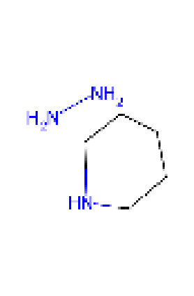 C1CCNCC1.NN